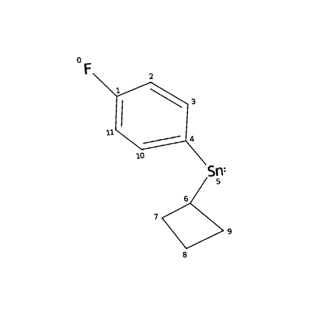 Fc1cc[c]([Sn][CH]2CCC2)cc1